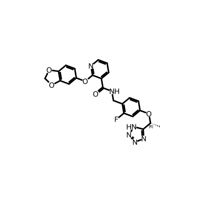 C[C@@H](Oc1ccc(CNC(=O)c2cccnc2Oc2ccc3c(c2)OCO3)c(F)c1)c1nnn[nH]1